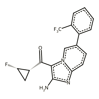 Nc1nc2ccc(-c3ccccc3C(F)(F)F)cn2c1C(=O)[C@@H]1C[C@@H]1F